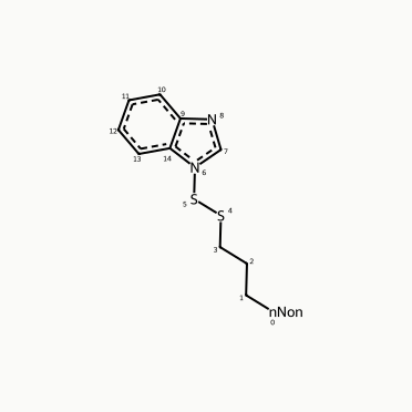 CCCCCCCCCCCCSSn1cnc2ccccc21